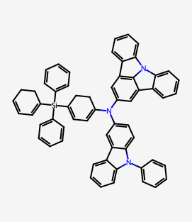 C1=CCCC([Si](C2=CC=C(N(c3ccc4c(c3)c3ccccc3n4-c3ccccc3)c3cc4c5ccccc5n5c6ccccc6c(c3)c45)CC2)(c2ccccc2)c2ccccc2)=C1